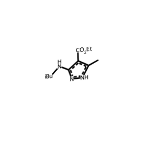 CCOC(=O)c1c(NC(C)CC)n[nH]c1C